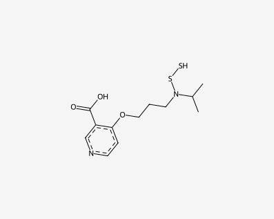 CC(C)N(CCCOc1ccncc1C(=O)O)SS